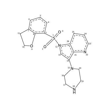 O=S(=O)(c1cccc2c1OCC2)n1cc(N2CCNCC2)c2ncccc21